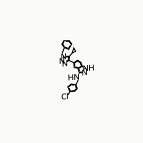 Clc1ccc(CNc2n[nH]c3ccc(-c4nnn(Cc5ccccc5)c4C4CC4)cc23)cc1